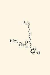 CCCCCCCCCCC(OC(=O)NCCCS)c1ccc(Cl)o1